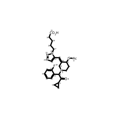 CC(=O)SC1CCN(C(C(=O)C2CC2)c2ccccc2F)C/C1=C\c1cnnn1CCCCC(=O)O